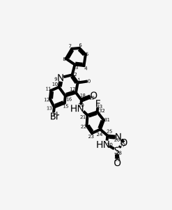 Cc1c(-c2ccccc2)nc2ccc(Br)cc2c1C(=O)Nc1ccc(C2=NOS(=O)N2)cc1F